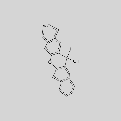 OC1(I)c2cc3ccccc3cc2Oc2cc3ccccc3cc21